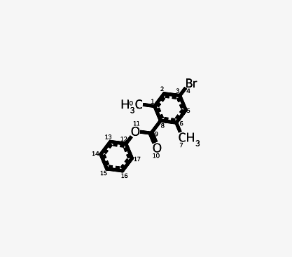 Cc1cc(Br)cc(C)c1C(=O)Oc1ccccc1